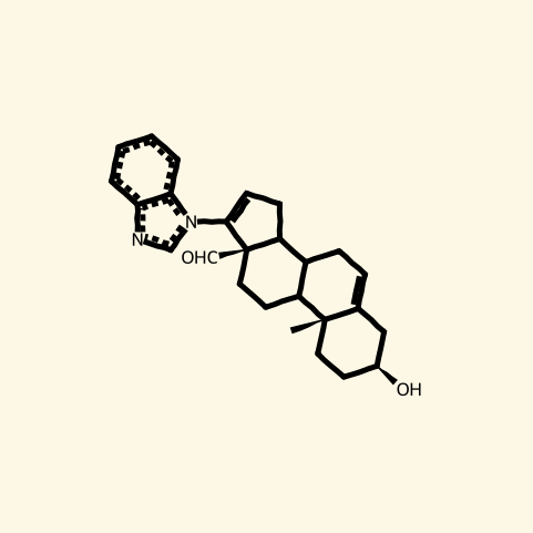 C[C@]12CC[C@H](O)CC1=CCC1C2CC[C@]2(C=O)C(n3cnc4ccccc43)=CCC12